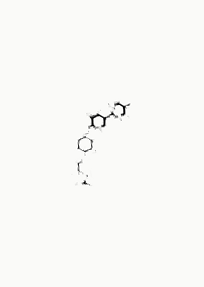 CC(=O)N[C@@H](C)CO[C@H]1CC[C@H](Oc2ncc(-c3ncc(F)cn3)cc2F)CC1